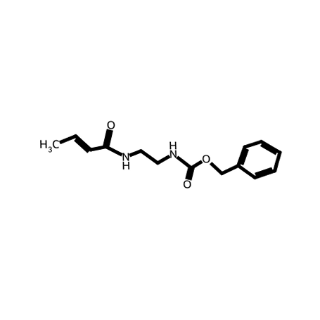 C/C=C/C(=O)NCCNC(=O)OCc1ccccc1